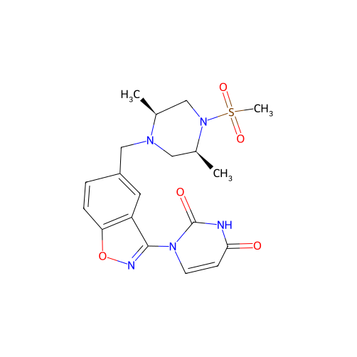 C[C@H]1CN(S(C)(=O)=O)[C@@H](C)CN1Cc1ccc2onc(-n3ccc(=O)[nH]c3=O)c2c1